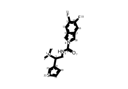 CN(C)C(CNC(=O)n1cc2cc(F)c(F)cc2c1)c1ccsc1